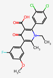 CCn1c(C)c(-c2cc(F)cc(OC)c2)c(=O)c(C(=O)O)c1-c1ccc(Cl)c(Cl)c1